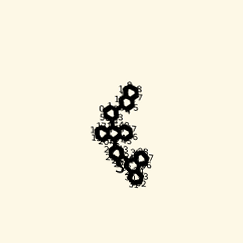 c1cc(-c2ccc3ccccc3c2)cc(-c2c3ccccc3c(-c3ccc4sc5c6ccccc6c6ccccc6c5c4c3)c3ccccc23)c1